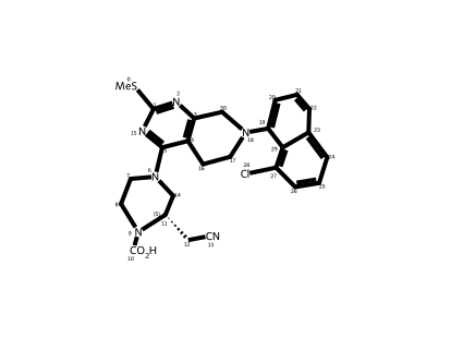 CSc1nc2c(c(N3CCN(C(=O)O)[C@@H](CC#N)C3)n1)CCN(c1cccc3cccc(Cl)c13)C2